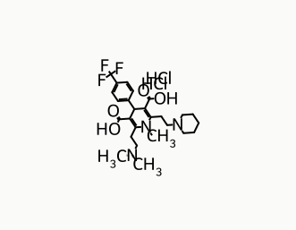 CN(C)CCC1=C(C(=O)O)C(c2ccc(C(F)(F)F)cc2)C(C(=O)O)=C(CCN2CCCCC2)N1C.Cl.Cl